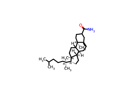 CC(C)CCC[C@@H](C)[C@H]1CC[C@H]2[C@@H]3CC=C4CC(C(N)=O)CC[C@]4(C)[C@H]3CC[C@]12C